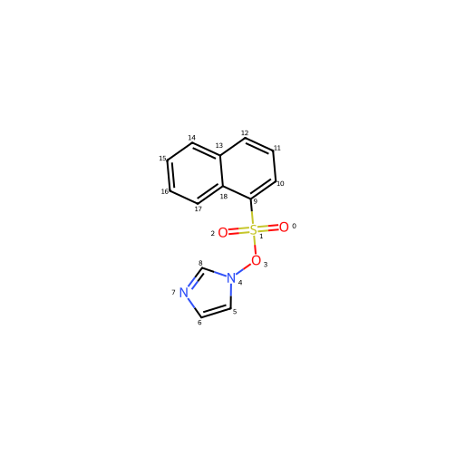 O=S(=O)(On1ccnc1)c1cccc2ccccc12